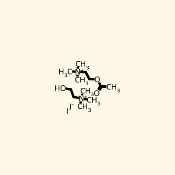 CC(=O)OCC[N+](C)(C)C.C[N+](C)(C)CCO.[I-].[I-]